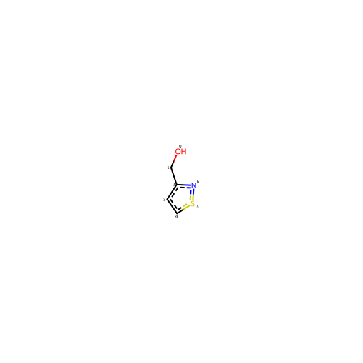 OCc1ccsn1